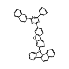 c1ccc(-c2nc(-c3ccc4ccccc4c3)nc(-c3ccc4c(c3)oc3cc(-n5c6ccccc6c6ccc7ccccc7c65)ccc34)n2)cc1